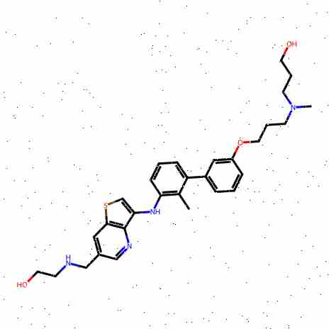 Cc1c(Nc2csc3cc(CNCCO)cnc23)cccc1-c1cccc(OCCCN(C)CCCO)c1